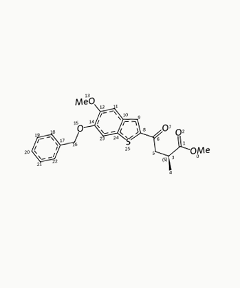 COC(=O)[C@@H](C)CC(=O)c1cc2cc(OC)c(OCc3ccccc3)cc2s1